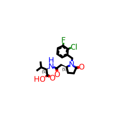 CC(C)[C@H](NC(=O)C[C@@H]1CCC(=O)N1Cc1cccc(F)c1Cl)C(=O)O